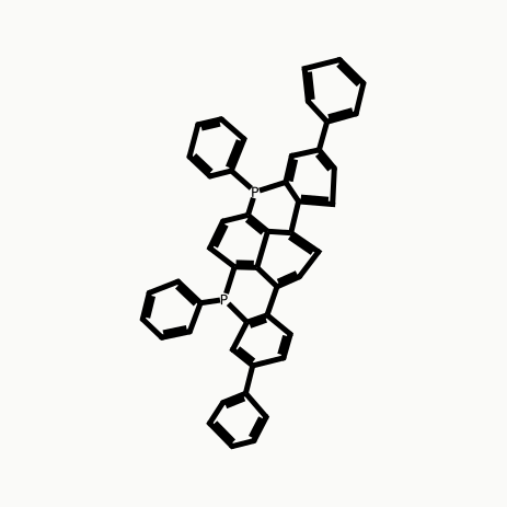 c1ccc(-c2ccc3c(c2)P(c2ccccc2)c2ccc4c5c(ccc-3c25)-c2ccc(-c3ccccc3)cc2P4c2ccccc2)cc1